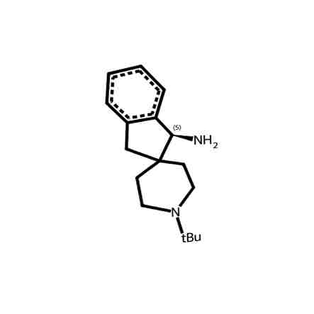 CC(C)(C)N1CCC2(CC1)Cc1ccccc1[C@H]2N